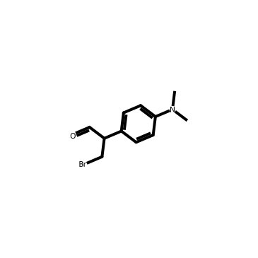 CN(C)c1ccc(C(C=O)CBr)cc1